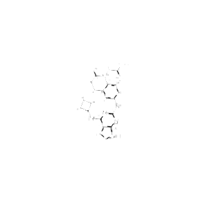 O=C(O)CN1C(=O)CCc2cc(Nc3nc(NC4CCC4)c4cc[nH]c4n3)ccc21